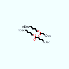 CCCCCCCCCCCCCCOC(=O)CCCCCCCCCCC.CCCCCCCCCCCCCCOC(=O)CCCCCCCCCCCCC